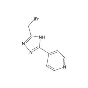 CC(C)Cc1nnc(-c2ccncc2)[nH]1